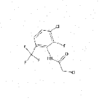 O=C(CCl)Nc1c(C(F)(F)F)ccc(Cl)c1F